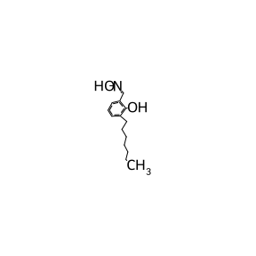 CCCCCCCc1cccc(/C=N\O)c1O